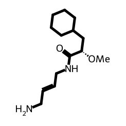 CO[C@@H](CC1CCCCC1)C(=O)NC/C=C/CN